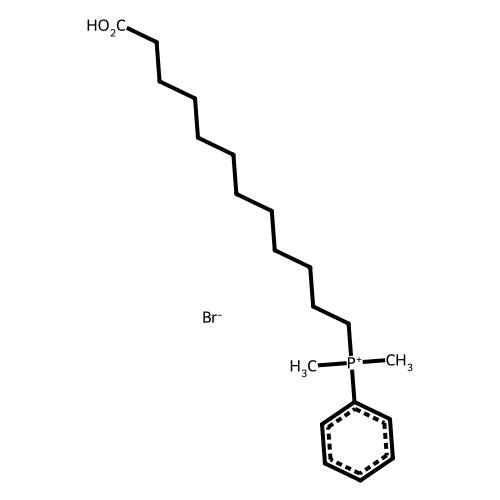 C[P+](C)(CCCCCCCCCCCC(=O)O)c1ccccc1.[Br-]